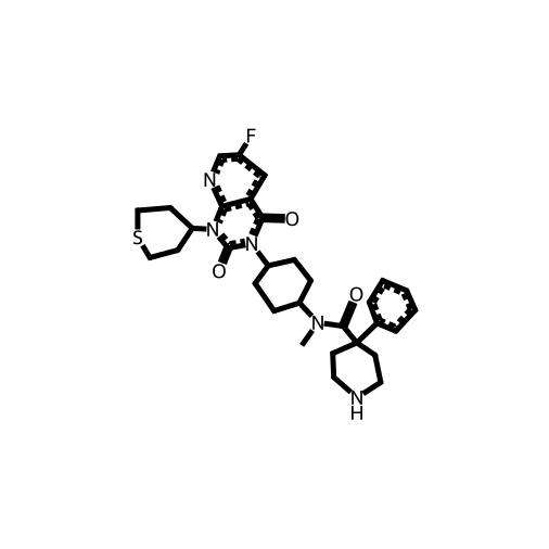 CN(C(=O)C1(c2ccccc2)CCNCC1)C1CCC(n2c(=O)c3cc(F)cnc3n(C3CCSCC3)c2=O)CC1